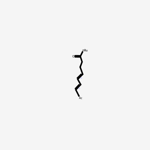 CCCCC(=O)CC/C=C/C=C/C(C)=O